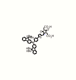 CCCCC1(CCCC)c2ccccc2-c2ccc(N(c3ccc(-c4ccc(/C=C5\C(=O)N(CC(=O)O)C(=O)N5CC(=O)O)s4)cc3)c3ccc4c(c3)C(CCCC)(CCCC)c3ccccc3-4)cc21